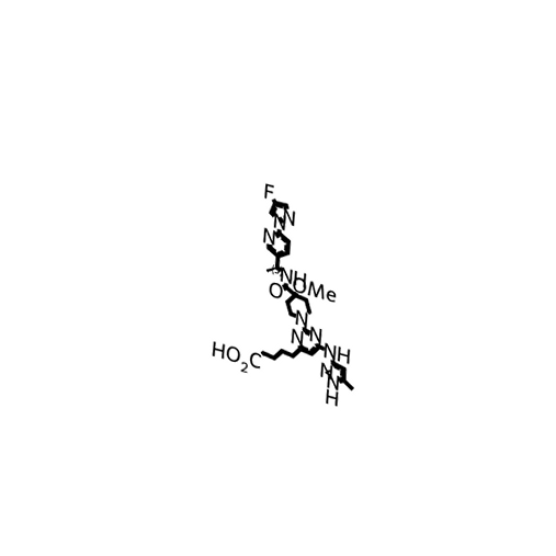 COC1(C(=O)N[C@@H](C)c2ccc(-n3cc(F)cn3)nc2)CCN(c2nc(CCCCC(=O)O)cc(Nc3cc(C)[nH]n3)n2)CC1